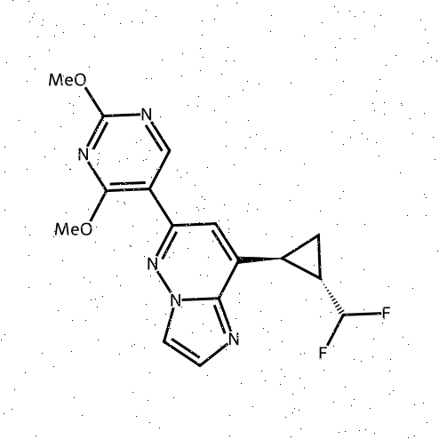 COc1ncc(-c2cc([C@H]3C[C@@H]3C(F)F)c3nccn3n2)c(OC)n1